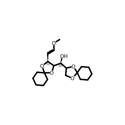 COC=C[C@@H]1OC2(CCCCC2)OC1[C@@H](O)C1COC2(CCCCC2)O1